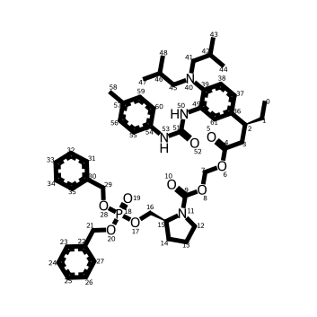 CC[C@@H](CC(=O)OCOC(=O)N1CCC[C@H]1COP(=O)(OCc1ccccc1)OCc1ccccc1)c1ccc(N(CC(C)C)CC(C)C)c(NC(=O)Nc2ccc(C)cc2)c1